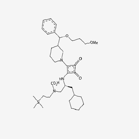 COCCCOC(c1ccccc1)C1CCCN(c2c(N[C@@H](CC3CCCCC3)CN(CC[Si](C)(C)C)C(=O)O)c(=O)c2=O)C1